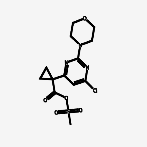 CS(=O)(=O)OC(=O)C1(c2cc(Cl)nc(N3CCOCC3)n2)CC1